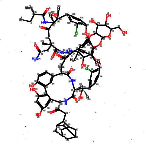 CN[C@H](CC(C)C)C(=O)N[C@H]1C(=O)C[C@@H](CC(N)=O)C(=O)N[C@H]2C(=O)C[C@H]3C(=O)N[C@H](C(=O)N[C@H](C(=O)CC4C5CC6CC(C5)CC4C6)c4cc(O)cc(O)c4-c4cc3ccc4O)[C@H](O)c3ccc(c(Cl)c3)Oc3cc2cc(c3OC2OC(CO)C(O)C(O)C2OC2CC(C)(N)C(O)C(C)O2)Oc2ccc(cc2Cl)[C@H]1O